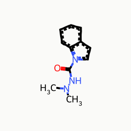 CN(C)NC(=O)n1ccc2ccccc21